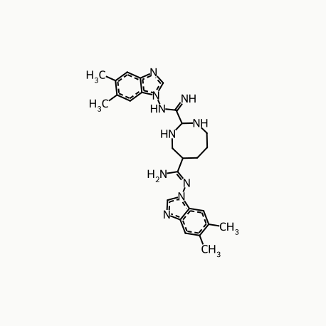 Cc1cc2ncn(N=C(N)C3CCCNC(C(=N)Nn4cnc5cc(C)c(C)cc54)NC3)c2cc1C